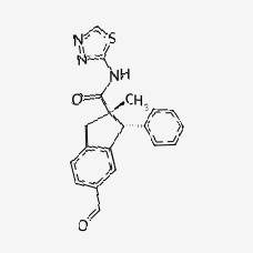 C[C@]1(C(=O)Nc2nncs2)Cc2ccc(C=O)cc2[C@H]1c1ccccc1